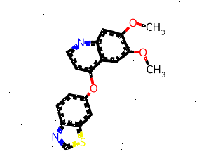 COc1cc2nccc(Oc3ccc4ncsc4c3)c2cc1OC